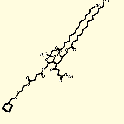 CCCCCCCCCCCCCC(=O)OCC(CC(C(=O)CCC(=O)OO)C1OC(C)(CC)OC1COC(=O)CCC(=O)OCCSSCc1ccccc1)OC(=O)CCCCCCCCCCCCC